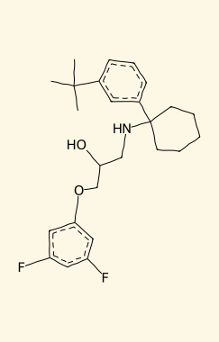 CC(C)(C)c1cccc(C2(NCC(O)COc3cc(F)cc(F)c3)CCCCC2)c1